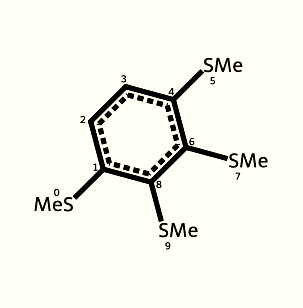 CSc1ccc(SC)c(SC)c1SC